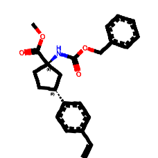 C=Cc1ccc([C@@H]2CC[C@](NC(=O)OCc3ccccc3)(C(=O)OC)C2)cc1